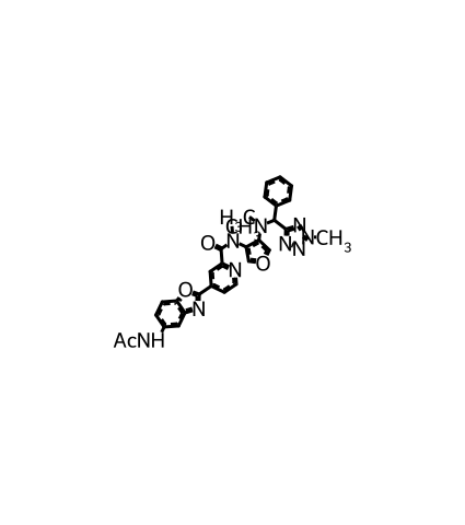 CC(=O)Nc1ccc2oc(-c3ccnc(C(=O)N(C)c4cocc4N(C)C(c4ccccc4)c4nnn(C)n4)c3)nc2c1